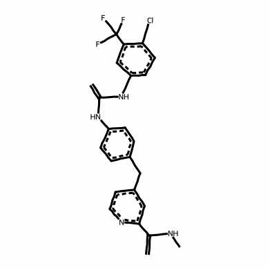 C=C(Nc1ccc(Cc2ccnc(C(=C)NC)c2)cc1)Nc1ccc(Cl)c(C(F)(F)F)c1